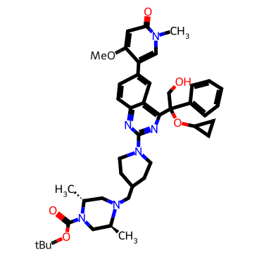 COc1cc(=O)n(C)cc1-c1ccc2nc(N3CCC(CN4C[C@@H](C)N(C(=O)OC(C)(C)C)C[C@@H]4C)CC3)nc(C(CO)(OC3CC3)c3ccccc3)c2c1